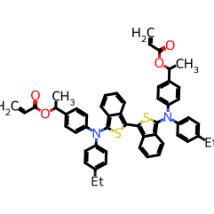 C=CC(=O)OC(C)c1ccc(N(c2ccc(CC)cc2)c2sc(-c3sc(N(c4ccc(CC)cc4)c4ccc(C(C)OC(=O)C=C)cc4)c4ccccc34)c3ccccc23)cc1